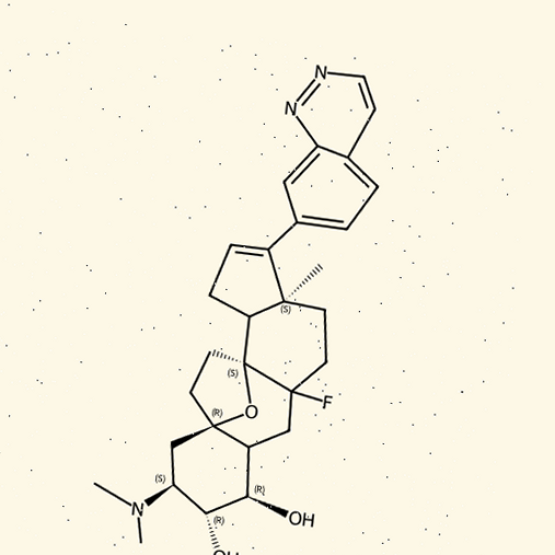 CN(C)[C@H]1C[C@@]23CC[C@]4(O2)C2CC=C(c5ccc6ccnnc6c5)[C@@]2(C)CCC4(F)CC3[C@@H](O)[C@@H]1O